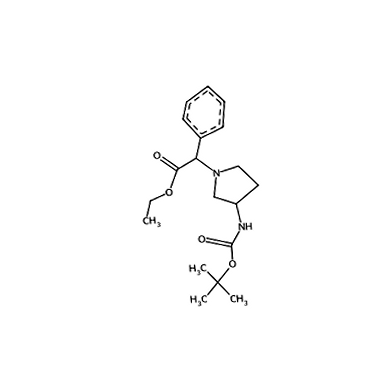 CCOC(=O)C(c1ccccc1)N1CCC(NC(=O)OC(C)(C)C)C1